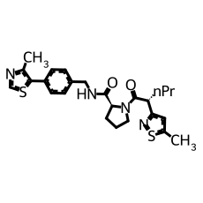 CCC[C@@H](C(=O)N1CCC[C@H]1C(=O)NCc1ccc(-c2scnc2C)cc1)c1cc(C)sn1